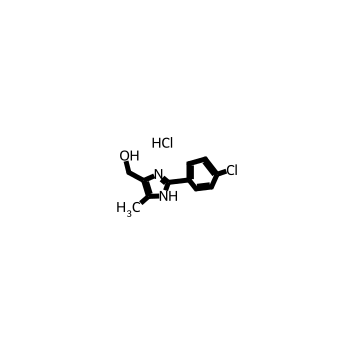 Cc1[nH]c(-c2ccc(Cl)cc2)nc1CO.Cl